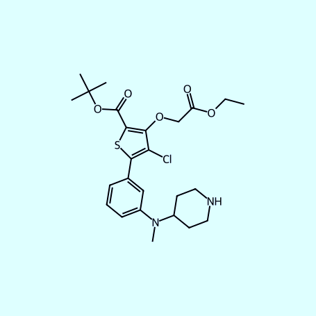 CCOC(=O)COc1c(C(=O)OC(C)(C)C)sc(-c2cccc(N(C)C3CCNCC3)c2)c1Cl